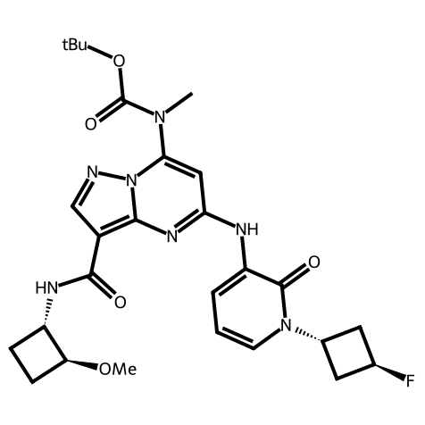 CO[C@H]1CC[C@@H]1NC(=O)c1cnn2c(N(C)C(=O)OC(C)(C)C)cc(Nc3cccn([C@H]4C[C@H](F)C4)c3=O)nc12